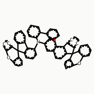 c1ccc(-c2ccccc2N(c2ccc3c4c(ccc3c2)C2(c3ccccc3Oc3ccccc32)c2ccccc2-4)c2cccc3c2-c2ccccc2C32c3ccccc3Oc3ccccc32)cc1